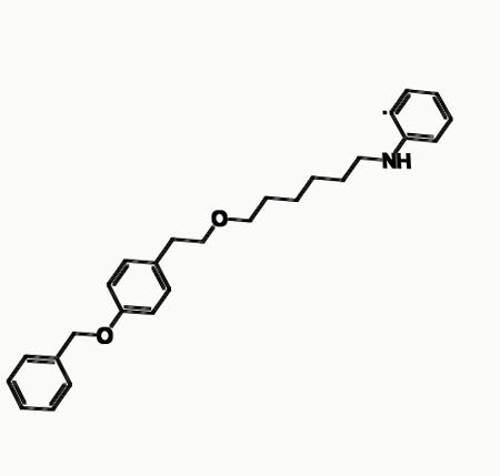 [c]1ccccc1NCCCCCCOCCc1ccc(OCc2ccccc2)cc1